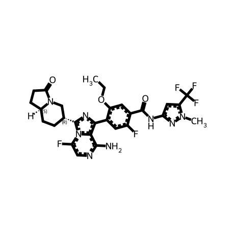 CCOc1cc(C(=O)Nc2cc(C(F)(F)F)n(C)n2)c(F)cc1-c1nc([C@@H]2CC[C@H]3CCC(=O)N3C2)n2c(F)cnc(N)c12